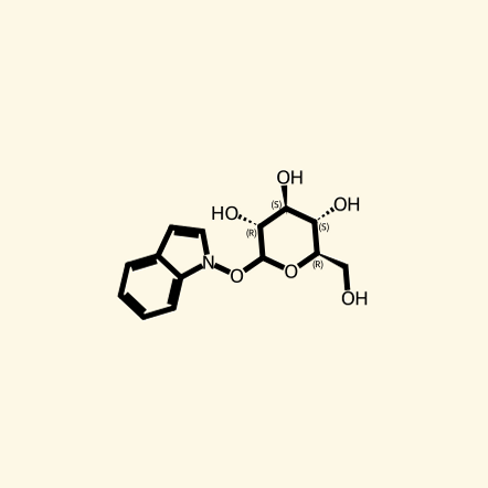 OC[C@H]1OC(On2ccc3ccccc32)[C@H](O)[C@@H](O)[C@@H]1O